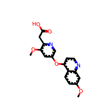 COc1ccc2c(Oc3cnc(CC(=O)O)c(OC)c3)ccnc2c1